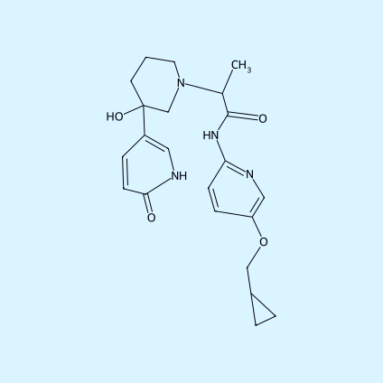 CC(C(=O)Nc1ccc(OCC2CC2)cn1)N1CCCC(O)(c2ccc(=O)[nH]c2)C1